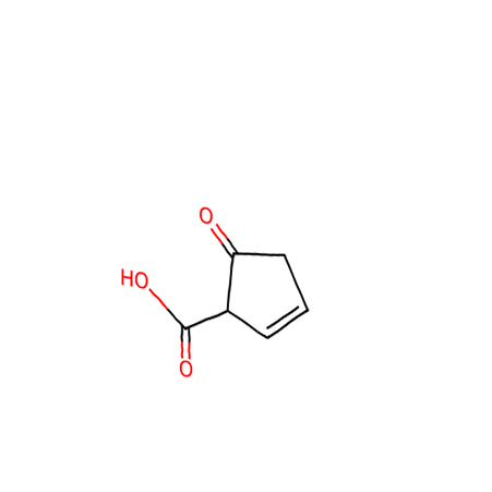 O=C(O)C1C=CCC1=O